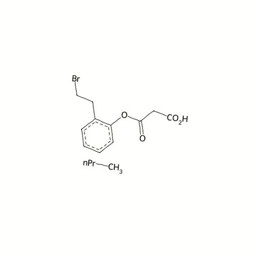 CCCC.O=C(O)CC(=O)Oc1ccccc1CCBr